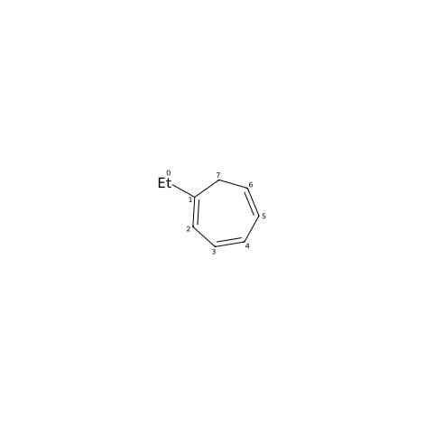 CCC1=CC=CC=CC1